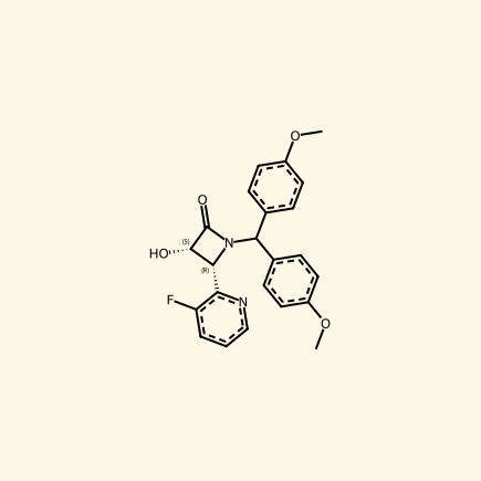 COc1ccc(C(c2ccc(OC)cc2)N2C(=O)[C@@H](O)[C@H]2c2ncccc2F)cc1